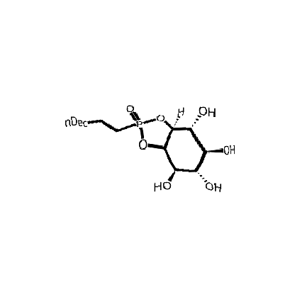 CCCCCCCCCCCCP1(=O)OC2[C@@H](O1)[C@H](O)[C@@H](O)[C@H](O)[C@H]2O